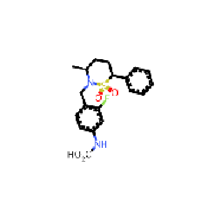 C[C@H]1CCC(c2ccccc2)S(=O)(=O)N1Cc1ccc(NC(=O)O)cc1F